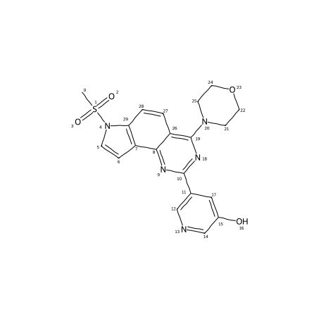 CS(=O)(=O)n1ccc2c3nc(-c4cncc(O)c4)nc(N4CCOCC4)c3ccc21